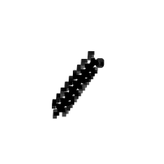 O=C(F)C(F)(F)C(F)(F)C(F)(F)C(F)(F)C(F)(F)C(F)(F)C(F)(F)C(F)(F)F